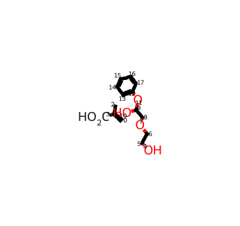 C=C(C)C(=O)O.OCCOCC(O)Oc1ccccc1